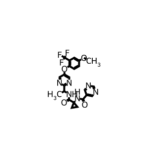 COc1ccc(Oc2cnc(C(C)NC(=O)C3(NC(=O)c4cncnc4)CC3)nc2)c(C(F)(F)F)c1